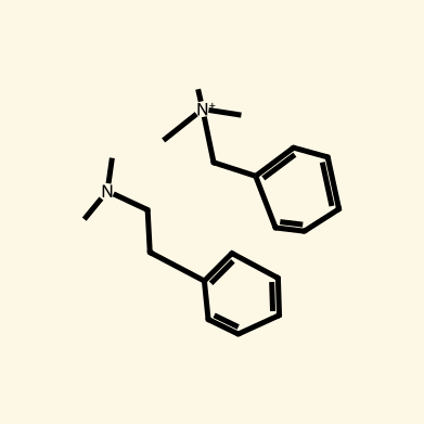 CN(C)CCc1ccccc1.C[N+](C)(C)Cc1ccccc1